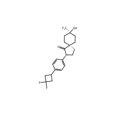 O=C1N(c2ccc(C3CC(F)(F)C3)cc2)CC[C@]12CC[C@@](O)(C(F)(F)F)CC2